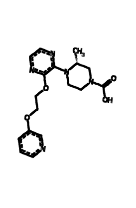 C[C@@H]1CN(C(=O)O)CCN1c1nccnc1OCCOc1cccnc1